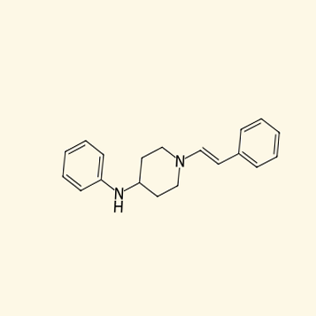 C(=CN1CCC(Nc2ccccc2)CC1)c1ccccc1